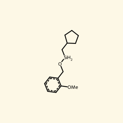 COc1ccccc1CO[SiH2]CC1CCCC1